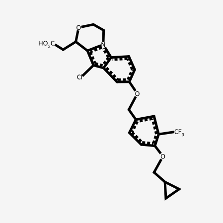 O=C(O)CC1OCCn2c1c(Cl)c1cc(OCc3ccc(OCC4CC4)c(C(F)(F)F)c3)ccc12